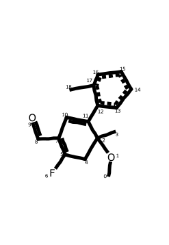 COC1(C)CC(F)=C(C=O)C=C1c1ccccc1C